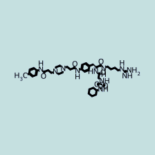 Cc1ccc(NC(=O)CCN2CCN(CCC(=O)Nc3ccc(C[C@H](NC(=O)CNS(=O)(=O)NC4CCCCC4)C(=O)NCCCCNC(=N)N)cc3)CC2)cc1